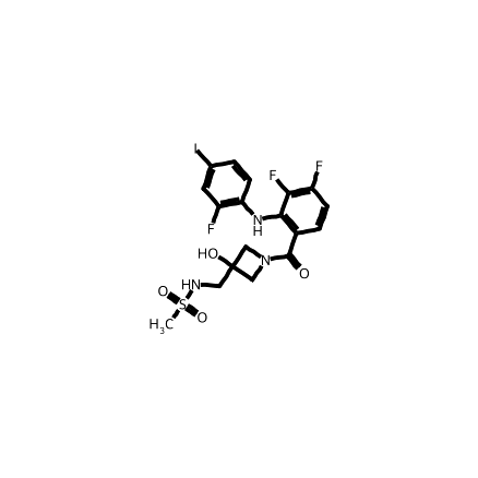 CS(=O)(=O)NCC1(O)CN(C(=O)c2ccc(F)c(F)c2Nc2ccc(I)cc2F)C1